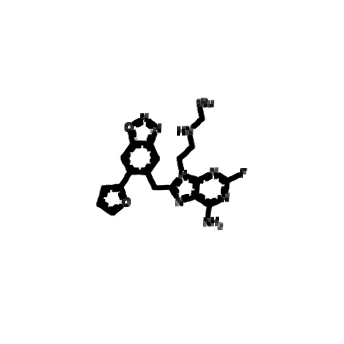 CC(C)(C)CNCCn1c(Cc2cc3nnoc3cc2-c2ccco2)nc2c(N)nc(F)nc21